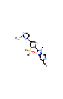 CCS(=O)(=O)c1cc(-c2ccnc(C(F)(F)F)n2)cnc1-c1nc2cc(C(F)(F)F)ncc2n1C